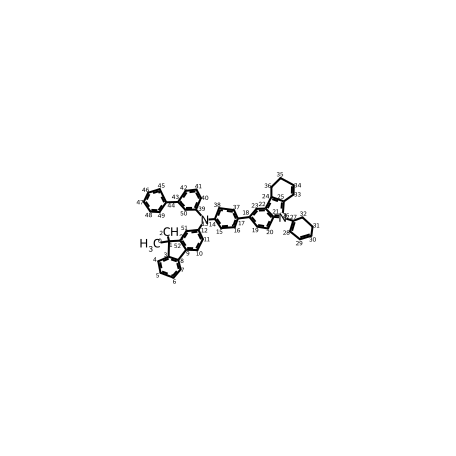 CC1(C)c2ccccc2-c2ccc(N(c3ccc(-c4ccc5c(c4)c4c(n5C5=CC=CCC5)C=CCC4)cc3)c3cccc(-c4ccccc4)c3)cc21